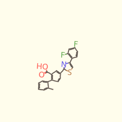 Cc1ccccc1-c1ccc(-c2nc(-c3ccc(F)cc3F)cs2)cc1C(=O)O